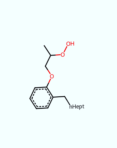 CCCCCCCCc1ccccc1OCC(C)OO